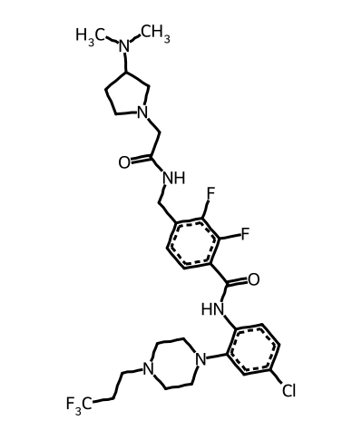 CN(C)C1CCN(CC(=O)NCc2ccc(C(=O)Nc3ccc(Cl)cc3N3CCN(CCC(F)(F)F)CC3)c(F)c2F)C1